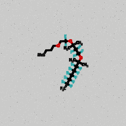 CSCCCOCC(F)(F)OC(C)(C)C(F)(F)C(F)(F)OC(C)(C)C(F)(F)C(F)(F)C(F)(F)C(F)(F)C(F)(F)C(F)(F)F